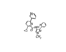 Cn1cc(NC(=O)c2nc(-c3cccnc3)ccc2C2CC2)c(-c2ccccn2)n1